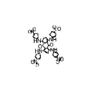 O=C1c2c(Nc3ccc([N+](=O)[O-])cc3)ccc(Nc3ccc([N+](=O)[O-])cc3)c2C(=O)c2c(Nc3ccc([N+](=O)[O-])cc3)ccc(Nc3ccc([N+](=O)[O-])cc3)c21